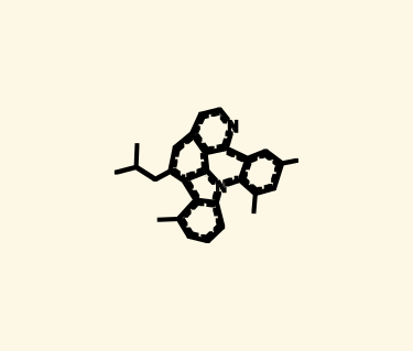 Cc1cc(C)c2c(c1)c1nccc3cc(CC(C)C)c4c5c(C)cccc5n2c4c31